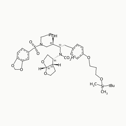 CC(C)CN(C[C@@H](O)[C@H](Cc1ccc(OCCCO[Si](C)(C)C(C)(C)C)cc1)N(C(=O)O)[C@H]1CO[C@H]2OCC[C@H]21)S(=O)(=O)c1ccc2c(c1)OCO2